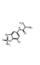 CCC(C)C(N)C(=O)Nc1cc(C(C)C)c(OS(N)(=O)=O)c(C(C)C)c1